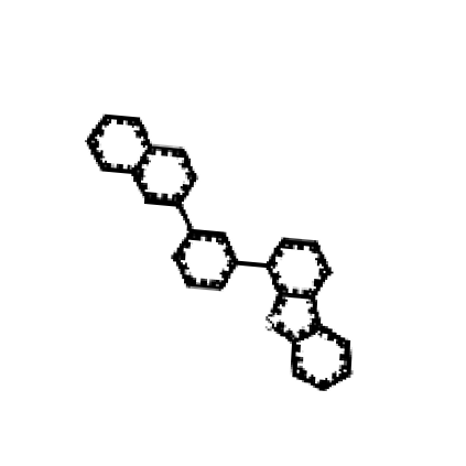 c1cc(-c2ccc3ccccc3c2)cc(-c2cccc3c2sc2ccccc23)c1